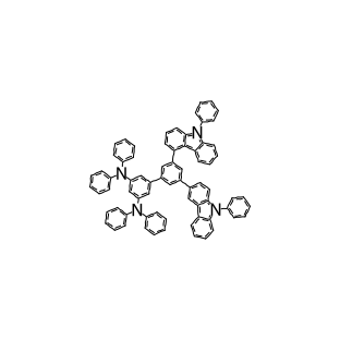 c1ccc(N(c2ccccc2)c2cc(-c3cc(-c4ccc5c(c4)c4ccccc4n5-c4ccccc4)cc(-c4cccc5c4c4ccccc4n5-c4ccccc4)c3)cc(N(c3ccccc3)c3ccccc3)c2)cc1